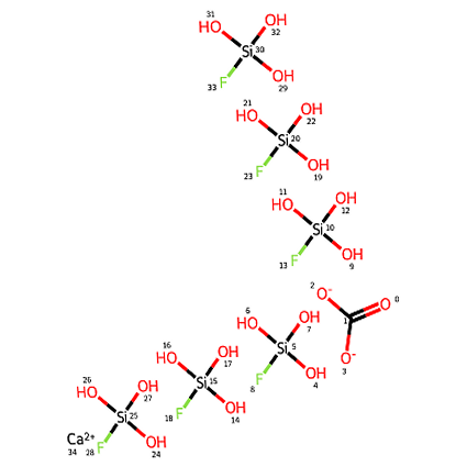 O=C([O-])[O-].O[Si](O)(O)F.O[Si](O)(O)F.O[Si](O)(O)F.O[Si](O)(O)F.O[Si](O)(O)F.O[Si](O)(O)F.[Ca+2]